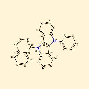 c1ccc(-n2c3ccccc3c3c2c2ccccc2n3-c2cccc3ccccc23)cc1